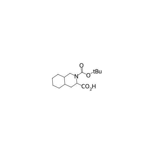 CC(C)(C)OC(=O)N1CC2CCCCC2CC1C(=O)O